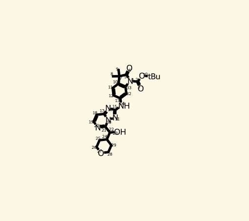 CC(C)(C)OC(=O)N1C(=O)C(C)(C)c2ccc(Nc3nc4ccnc(C(O)C5CCOCC5)n4n3)cc21